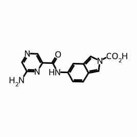 Nc1cncc(C(=O)Nc2ccc3cn(C(=O)O)cc3c2)n1